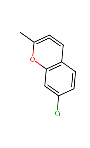 CC1=C=Cc2ccc(Cl)cc2O1